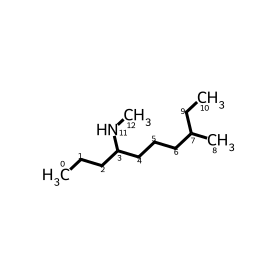 CCCC(CCCC(C)CC)NC